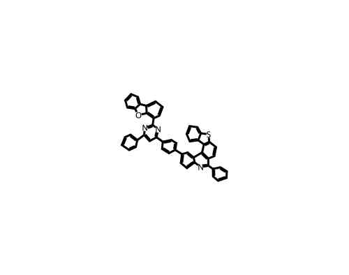 c1ccc(-c2cc(-c3ccc(-c4ccc5nc(-c6ccccc6)c6ccc7sc8ccccc8c7c6c5c4)cc3)nc(-c3cccc4c3oc3ccccc34)n2)cc1